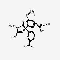 COc1cc(/C(O)=C/N)cc(C2(c3cccc(C(F)F)n3)N=C(N)N(C)C2=O)c1